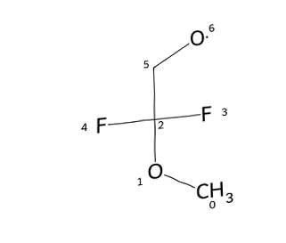 COC(F)(F)C[O]